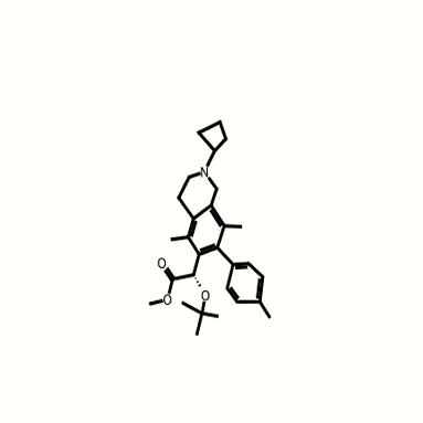 COC(=O)[C@@H](OC(C)(C)C)c1c(C)c2c(c(C)c1-c1ccc(C)cc1)CN(C1CCC1)CC2